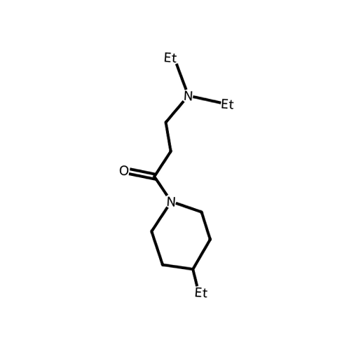 CCC1CCN(C(=O)CCN(CC)CC)CC1